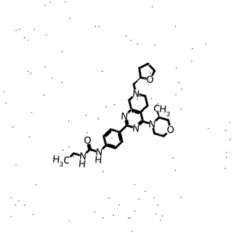 CCNC(=O)Nc1ccc(-c2nc3c(c(N4CCOC[C@@H]4C)n2)CCN(C[C@H]2CCCO2)C3)cc1